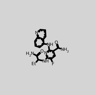 CCC(Nc1nc(Nc2cccc3ncccc23)c(C(N)=O)cc1F)C(N)=O